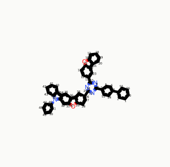 c1ccc(-c2ccc(-c3nc(-c4ccc5oc6ccccc6c5c4)nc(-c4ccc5oc6cc7c(cc6c5c4)c4ccccc4n7-c4ccccc4)n3)cc2)cc1